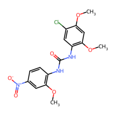 COc1cc(OC)c(NC(=O)Nc2ccc([N+](=O)[O-])cc2OC)cc1Cl